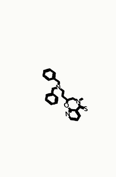 CN1CC(CCN(Cc2ccccc2)Cc2ccccc2)Oc2ncccc2C1=S